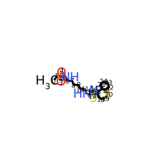 CCS(=O)(=O)NCCCCCCNc1nc2c(s1)CCSc1ccccc1-2